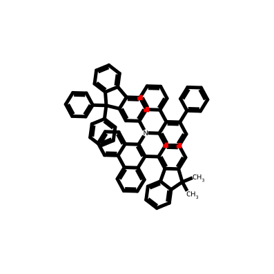 CC1(C)c2ccccc2-c2c(-c3c(N(c4ccc5c(c4)C(c4ccccc4)(c4ccccc4)c4ccccc4-5)c4cccc(-c5ccccc5)c4-c4ccccc4)c4ccccc4c4ccccc34)cccc21